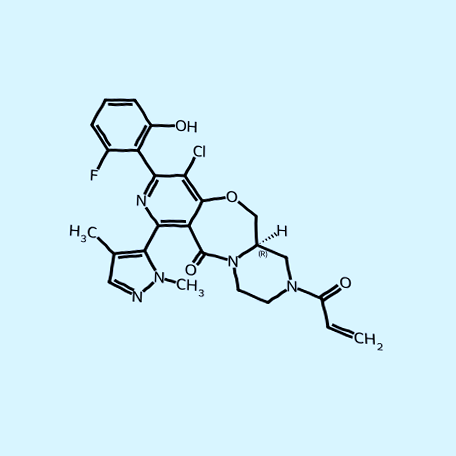 C=CC(=O)N1CCN2C(=O)c3c(-c4c(C)cnn4C)nc(-c4c(O)cccc4F)c(Cl)c3OC[C@H]2C1